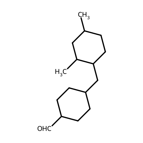 CC1CCC(CC2CCC(C=O)CC2)C(C)C1